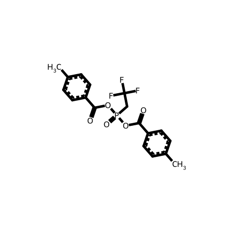 Cc1ccc(C(=O)OP(=O)(CC(F)(F)F)OC(=O)c2ccc(C)cc2)cc1